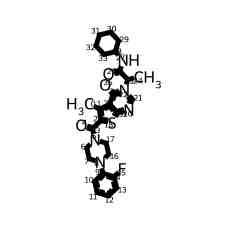 Cc1c(C(=O)N2CCN(c3ccccc3F)CC2)sc2ncn(C(C)C(=O)NC3CCCCC3)c(=O)c12